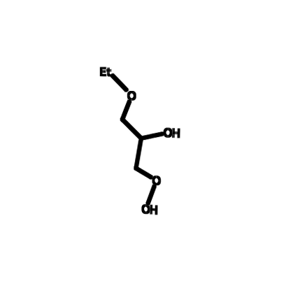 CCOCC(O)COO